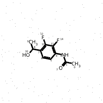 CC(=O)Nc1ccc(C(C)O)c(F)c1F